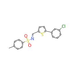 Cc1ccc(S(=O)(=O)/N=C/c2ccc(-c3cccc(Cl)c3)s2)cc1